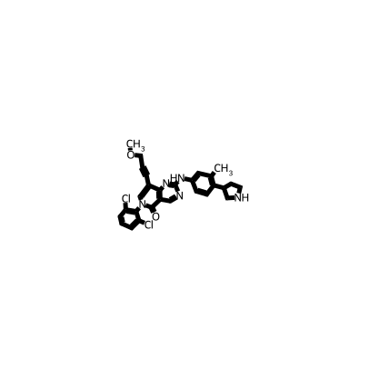 COCC#Cc1cn(-c2c(Cl)cccc2Cl)c(=O)c2cnc(Nc3ccc(C4CCNC4)c(C)c3)nc12